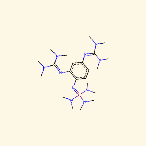 CN(C)C(=Nc1ccc(N=P(N(C)C)(N(C)C)N(C)C)c(N=C(N(C)C)N(C)C)c1)N(C)C